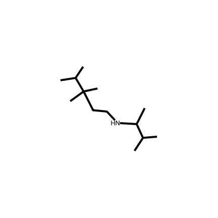 CC(C)C(C)NCCC(C)(C)C(C)C